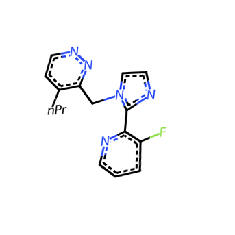 CCCc1ccnnc1Cn1ccnc1-c1ncccc1F